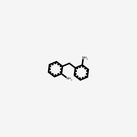 Nc1c[c]ccc1Cc1ccccc1N